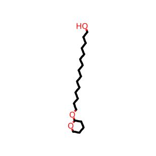 OCCCCCCCCCCCCCCCOC1CCCCO1